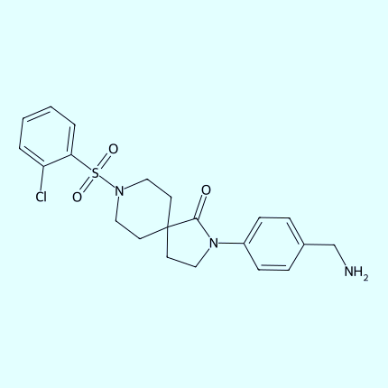 NCc1ccc(N2CCC3(CCN(S(=O)(=O)c4ccccc4Cl)CC3)C2=O)cc1